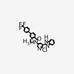 Cc1cc(-c2ccc(C(F)(F)F)cc2)ccc1C(=O)Nc1cnc(Cl)c(-c2nc3ccccc3[nH]2)c1